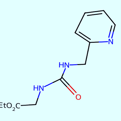 CCOC(=O)CNC(=O)NCc1ccccn1